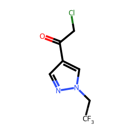 O=C(CCl)c1cnn(CC(F)(F)F)c1